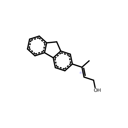 C/C(=C\CO)c1ccc2c(c1)Cc1ccccc1-2